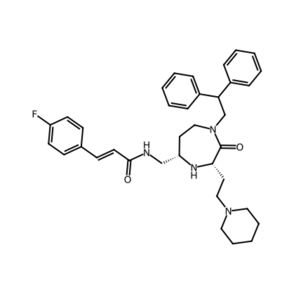 O=C(C=Cc1ccc(F)cc1)NC[C@@H]1CCN(CC(c2ccccc2)c2ccccc2)C(=O)[C@H](CCN2CCCCC2)N1